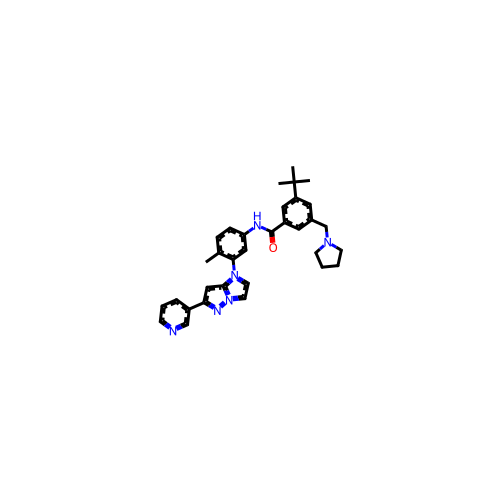 Cc1ccc(NC(=O)c2cc(CN3CCCC3)cc(C(C)(C)C)c2)cc1-n1ccn2nc(-c3cccnc3)cc12